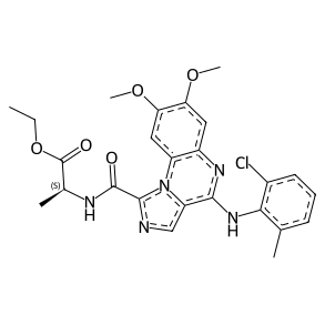 CCOC(=O)[C@H](C)NC(=O)c1ncc2c(Nc3c(C)cccc3Cl)nc3cc(OC)c(OC)cc3n12